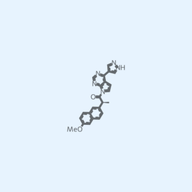 COc1ccc2cc([C@H](C)C(=O)n3ccc4c(-c5cn[nH]c5)ncnc43)ccc2c1